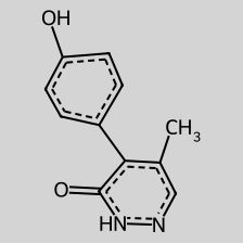 Cc1cn[nH]c(=O)c1-c1ccc(O)cc1